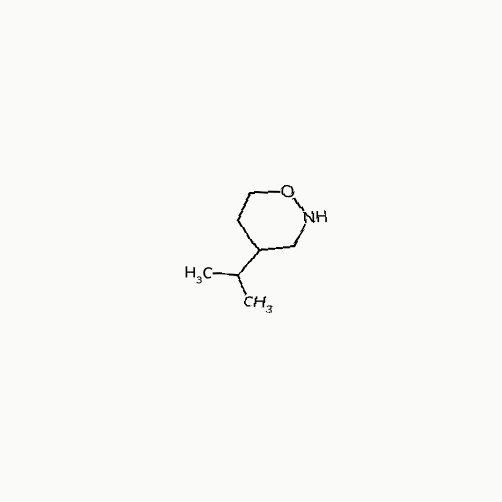 CC(C)C1CCONC1